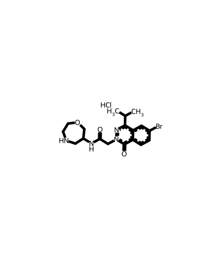 CC(C)c1nn(CC(=O)NC2CNCCOC2)c(=O)c2ccc(Br)cc12.Cl